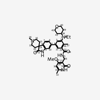 CCN(c1cc(-c2ccc3c(c2)NC(=O)C32CCN(C)CC2)cc(C(=O)NCc2c(OC)cc(C)[nH]c2=O)c1C)C1CCOCC1